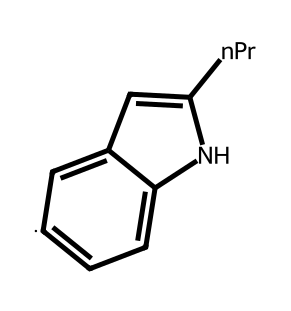 CCCc1cc2c[c]ccc2[nH]1